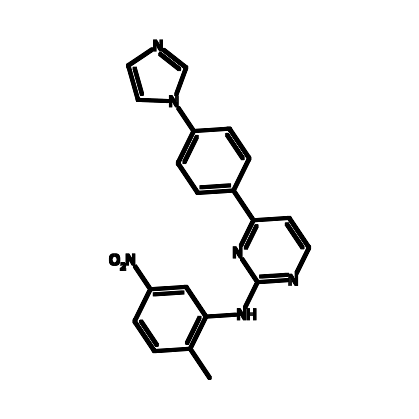 Cc1ccc([N+](=O)[O-])cc1Nc1nccc(-c2ccc(-n3ccnc3)cc2)n1